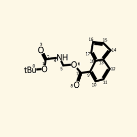 CC(C)(C)OC(=O)NCOC(=O)c1cccc2ccccc12